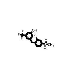 CS(=O)(=O)c1ccc(Cc2cc(O)cc(C(F)(F)F)c2)c(Cl)c1